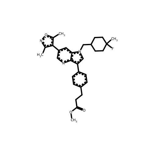 COC(=O)CCc1ccc(-c2cn(CC3CCC(C)(F)CC3)c3cc(-c4c(C)noc4C)cnc23)cc1